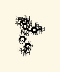 [2H]C([2H])([2H])c1cc([C@H]2C[C@@H](c3nc(-c4ccc(C([2H])([2H])[2H])c(F)c4F)c4nc(C([2H])([2H])[2H])c(C([2H])([2H])[2H])nc4n3)CCO2)ccn1